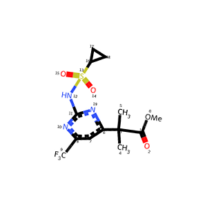 COC(=O)C(C)(C)c1cc(C(F)(F)F)nc(NS(=O)(=O)C2CC2)n1